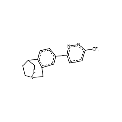 FC(F)(F)c1ccc(-c2ccc3c(c2)CN2CCC3CC2)nn1